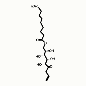 C=CCC(=O)[C@H](O)[C@@H](O)[C@H](O)[C@H](O)COC(=O)CCCCCCCCCCCCCCCCC